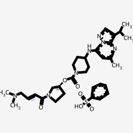 Cc1cc(NC2CCN(C(=O)O[C@H]3CCN(C(=O)/C=C/CN(C)C)C3)CC2)n2ncc(C(C)C)c2n1.O=S(=O)(O)c1ccccc1